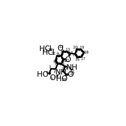 CNC(CC(=O)O)c1ccc2c(=O)cc(-c3ccccc3)oc2c1C(CC(=O)O)NC.Cl.Cl